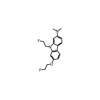 CN(C)c1ccc2c3ccc(OCCF)cc3n(CCF)c2c1